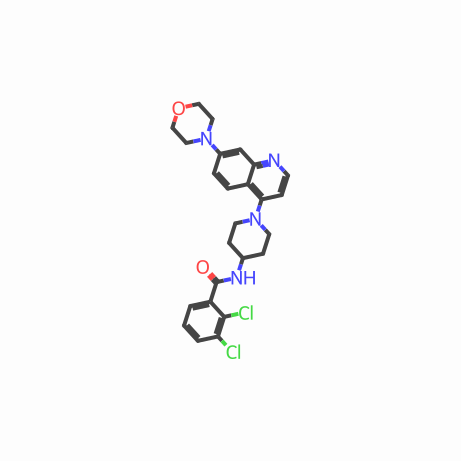 O=C(NC1CCN(c2ccnc3cc(N4CCOCC4)ccc23)CC1)c1cccc(Cl)c1Cl